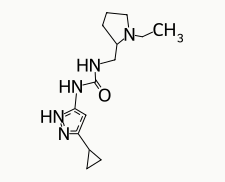 CCN1CCCC1CNC(=O)Nc1cc(C2CC2)n[nH]1